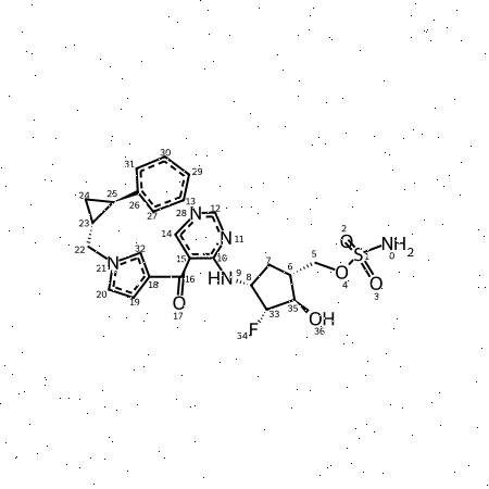 NS(=O)(=O)OC[C@H]1C[C@@H](Nc2ncncc2C(=O)c2ccn(C[C@@H]3C[C@H]3c3ccccc3)c2)[C@@H](F)[C@@H]1O